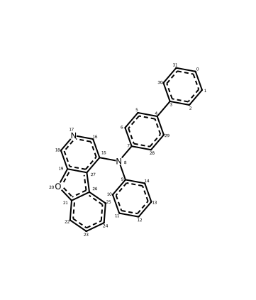 c1ccc(-c2ccc(N(c3ccccc3)c3cncc4oc5ccccc5c34)cc2)cc1